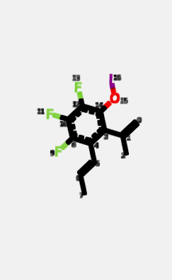 C=C(C)c1c(/C=C/C)c(F)c(F)c(F)c1OI